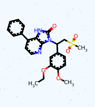 CCOc1cc(C(CS(C)(=O)=O)n2c(=O)[nH]c3c(-c4ccccc4)ccnc32)ccc1OC